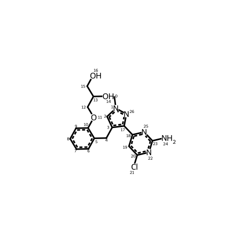 Cn1cc(Cc2ccccc2OCC(O)CO)c(-c2cc(Cl)nc(N)n2)n1